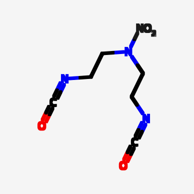 O=C=NCCN(CCN=C=O)[N+](=O)[O-]